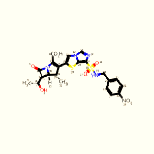 C[C@@H](O)[C@H]1C(=O)N2C(C(=O)O)=C(c3cn4cnc(S(=O)(=O)NCc5ccc([N+](=O)[O-])cc5)c4s3)[C@H](C)[C@H]12